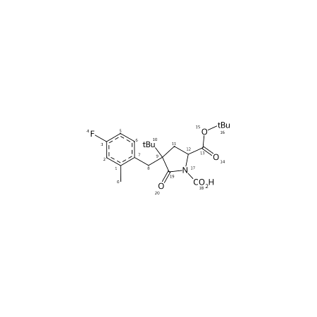 Cc1cc(F)ccc1CC1(C(C)(C)C)CC(C(=O)OC(C)(C)C)N(C(=O)O)C1=O